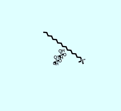 CCCCCCCCCCCCCCCC[N+](C)(C)C.O=[SH](=O)O.O=[SH](=O)[O-]